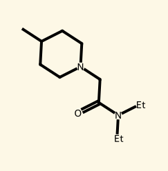 CCN(CC)C(=O)CN1CCC(C)CC1